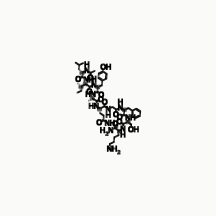 CC[C@H](C)[C@H](NC(=O)[C@H](CC(C)C)NC(C)=O)C(=O)N[C@@H](Cc1ccc(O)cc1)C(=O)N[C@@H](C)C(=O)N[C@@H](CCC(N)=O)C(=O)NCC(=O)N[C@@H](Cc1ccccc1)C(=O)N[C@@H](CO)C(=O)N[C@@H](CCCCN)C(N)=O